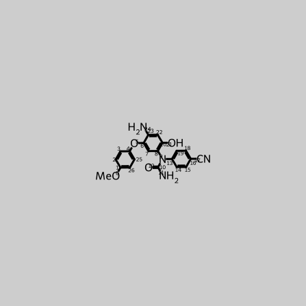 COc1ccc(Oc2cc(N(C(N)=O)c3ccc(C#N)cc3)c(O)cc2N)cc1